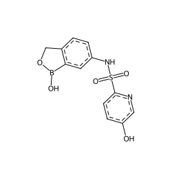 O=S(=O)(Nc1ccc2c(c1)B(O)OC2)c1ccc(O)cn1